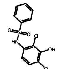 O=S(=O)(Nc1ccc(Cl)c(O)c1Cl)c1ccccc1